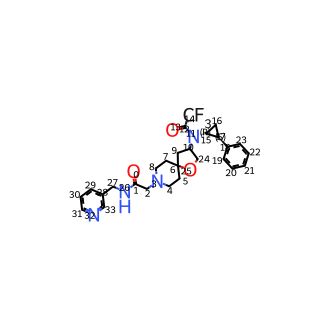 O=C(CN1CCC2(CC1)CC(N(C(=O)C(F)(F)F)[C@@H]1C[C@H]1c1ccccc1)CO2)NCc1cccnc1